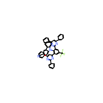 N#Cc1ccc2c(c1)c1ccccc1n2-c1c(-c2cc(-c3ccccc3)nc(-c3ccccc3)n2)cc(C(F)(F)F)cc1-c1nc(-c2ccccc2)cc(-c2ccccc2)n1